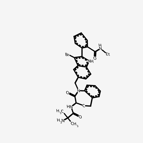 CCNC(=O)c1ccccc1-c1[nH]c2ccc(CN3C(=O)C(NC(=O)C(C)(C)N)CCc4ccccc43)cc2c1Br